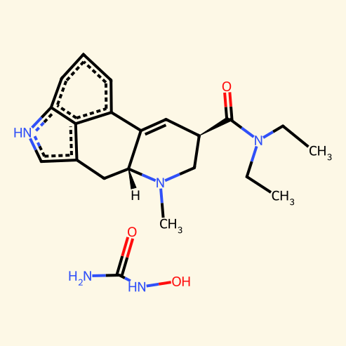 CCN(CC)C(=O)[C@@H]1C=C2c3cccc4[nH]cc(c34)C[C@H]2N(C)C1.NC(=O)NO